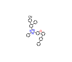 N#Cc1ccc(-c2ccc(-c3nc(-c4ccccc4)nc(-c4ccc5c(c4)oc4cccc(-c6ccc(-c7ccccc7)cc6)c45)n3)cc2-c2ccccc2)cc1